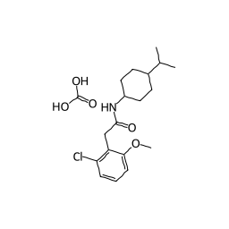 COc1cccc(Cl)c1CC(=O)NC1CCC(C(C)C)CC1.O=C(O)O